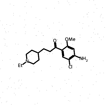 CCN1CCC(CCC(=O)c2cc(Cl)c(N)cc2OC)CC1